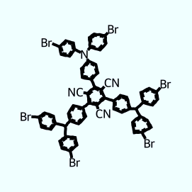 N#Cc1c(-c2ccc(C(c3ccc(Br)cc3)c3ccc(Br)cc3)cc2)c(C#N)c(-c2ccc(N(c3ccc(Br)cc3)c3ccc(Br)cc3)cc2)c(C#N)c1-c1ccc(C(c2ccc(Br)cc2)c2ccc(Br)cc2)cc1